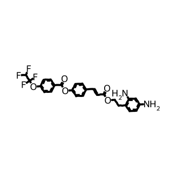 Nc1ccc(CCOC(=O)/C=C/c2ccc(OC(=O)c3ccc(OC(F)(F)C(F)F)cc3)cc2)c(N)c1